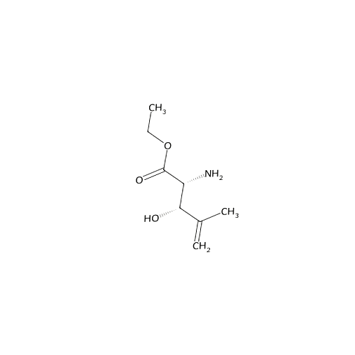 C=C(C)[C@H](O)[C@@H](N)C(=O)OCC